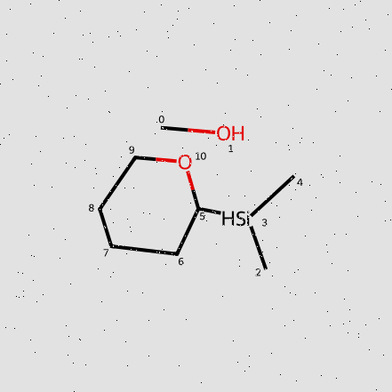 CO.C[SiH](C)C1CCCCO1